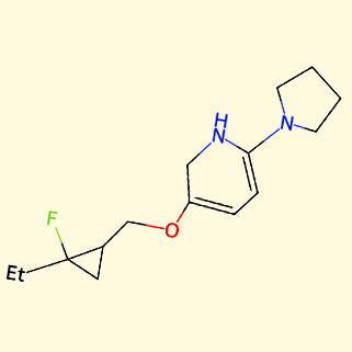 CCC1(F)CC1COC1=CC=C(N2CCCC2)NC1